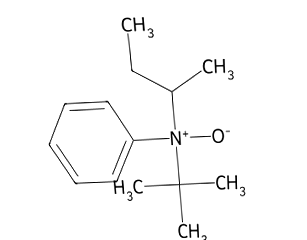 CCC(C)[N+]([O-])(c1ccccc1)C(C)(C)C